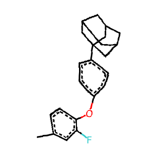 Cc1ccc(Oc2ccc(C34CC5CC(CC(C5)C3)C4)cc2)c(F)c1